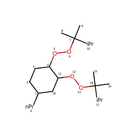 CCCC1CCC(OOC(C)(C)C(C)C)C(OOC(C)(C)C(C)C)C1